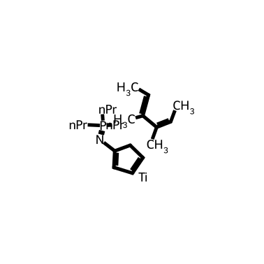 CC=C(C)C(C)=CC.CCCP(CCC)(CCC)=NC1=CC=CC1.[Ti]